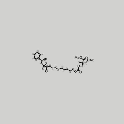 COC(=O)C(C)(COC(C)=O)COC(=O)OCCCCCCCCCC(=O)C(C)(C)CC(Br)c1ccccc1